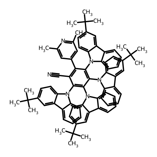 Cc1cc(-c2c(C#N)c(-n3c4ccccc4c4cc(C(C)(C)C)ccc43)c(-n3c4ccccc4c4cc(C(C)(C)C)ccc43)c(-n3c4ccccc4c4cc(C(C)(C)C)ccc43)c2-n2c3ccccc3c3cc(C(C)(C)C)ccc32)cc(C)n1